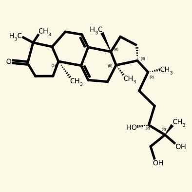 C[C@H](CC[C@@H](O)[C@](C)(O)CO)[C@H]1CC[C@@]2(C)C3=CCC4C(C)(C)C(=O)CC[C@]4(C)C3=CC[C@]12C